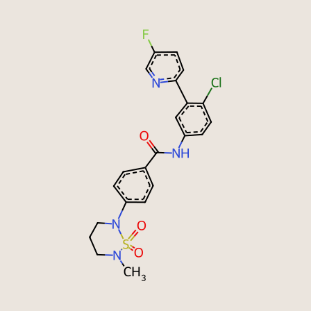 CN1CCCN(c2ccc(C(=O)Nc3ccc(Cl)c(-c4ccc(F)cn4)c3)cc2)S1(=O)=O